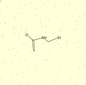 CCCNC([O])=S